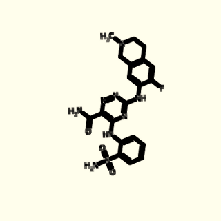 CN1CCc2cc(F)c(Nc3nnc(C(N)=O)c(Nc4ccccc4S(N)(=O)=O)n3)cc2C1